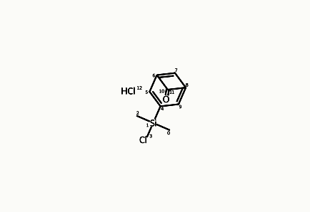 C[Si](C)(Cl)c1cc2cc(c1)C2=O.Cl